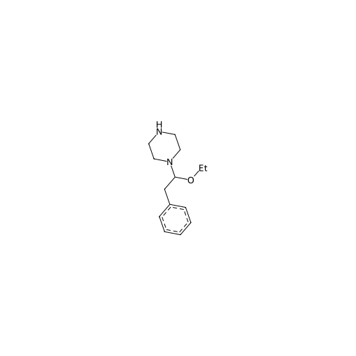 CCOC(Cc1ccccc1)N1CCNCC1